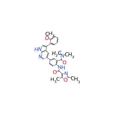 COc1ccccc1-c1c[nH]c2ncc(-c3ccc(NC(=O)c4nc(C)oc4C)c(C(=O)N(C)C)c3)cc12